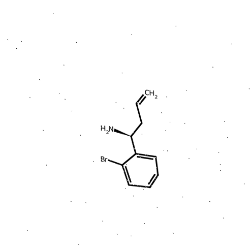 C=CC[C@H](N)c1ccccc1Br